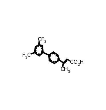 CC(=CC(=O)O)c1ccc(-c2cc(C(F)(F)F)cc(C(F)(F)F)c2)cc1